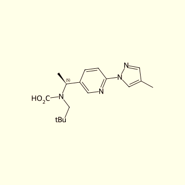 Cc1cnn(-c2ccc([C@H](C)N(CC(C)(C)C)C(=O)O)cn2)c1